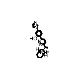 C=C(c1ccc(-c2ccc(-n3ccnc3)cc2O)nn1)[C@@H]1C[C@H]2CCC[C@H](N2)[C@@H]1F